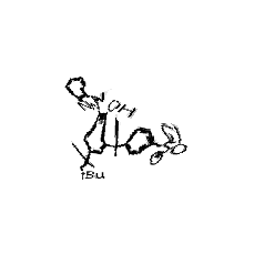 CC(C)(C)CC(C)(C)c1cc(-n2nc3ccccc3n2)c(O)c(C(C)(C)c2ccc(S(=O)(=O)Cl)cc2)c1